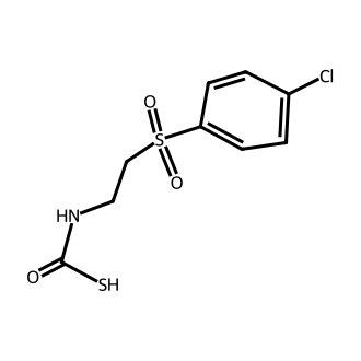 O=C(S)NCCS(=O)(=O)c1ccc(Cl)cc1